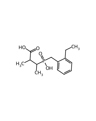 CCc1ccccc1CP(=O)(O)C(C)C(C)C(=O)O